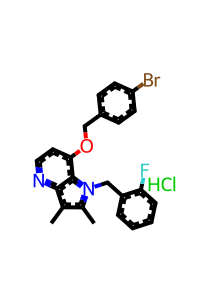 Cc1c(C)n(Cc2ccccc2F)c2c(OCc3ccc(Br)cc3)ccnc12.Cl